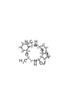 CC1CNC(=O)c2c(F)nn3ccc(nc23)NC(C)c2ccccc2O1